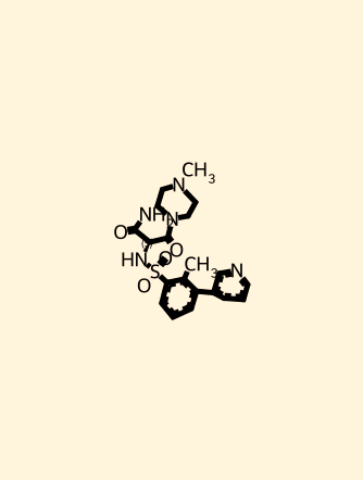 Cc1c(-c2cccnc2)cccc1S(=O)(=O)N[C@@H](C(N)=O)C(=O)N1CCN(C)CC1